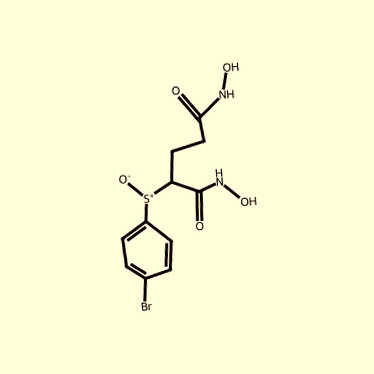 O=C(CCC(C(=O)NO)[S+]([O-])c1ccc(Br)cc1)NO